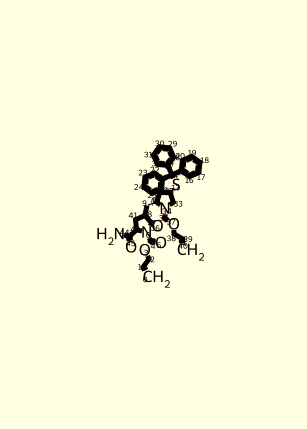 C=CCOC(=O)N1CC(C[C@@H]2C[C@H](SC(c3ccccc3)(c3ccccc3)c3ccccc3)CN2C(=O)OCC=C)CC1C(N)=O